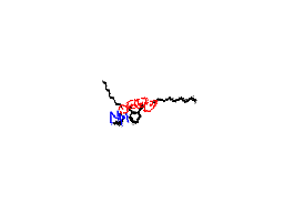 CCCCCCCCOC(=O)c1cccc(-n2ccnc2)c1C(=O)OCCCCCCCC